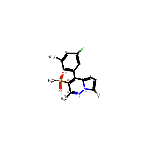 CCc1ccc2c(-c3cc(Br)cc(C(=O)O)c3)c(S(C)(=O)=O)c(C)nn12